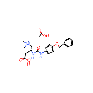 CC(=O)O.C[N+](C)(C)C[C@@H](CC(=O)O)NC(=O)Nc1ccc(OCc2ccccc2)cc1